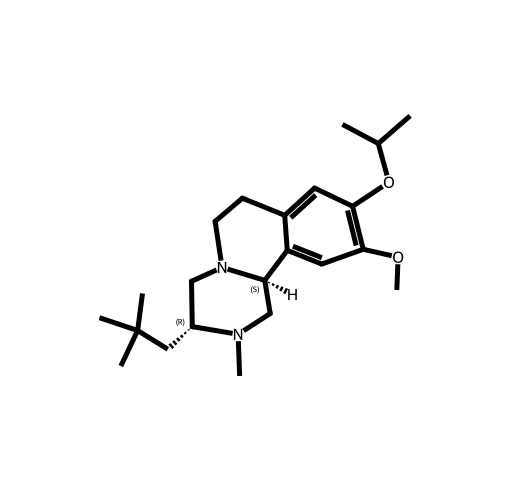 COc1cc2c(cc1OC(C)C)CCN1C[C@@H](CC(C)(C)C)N(C)C[C@H]21